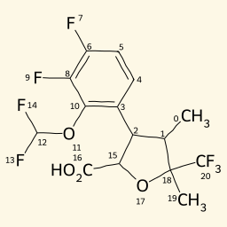 CC1C(c2ccc(F)c(F)c2OC(F)F)C(C(=O)O)OC1(C)C(F)(F)F